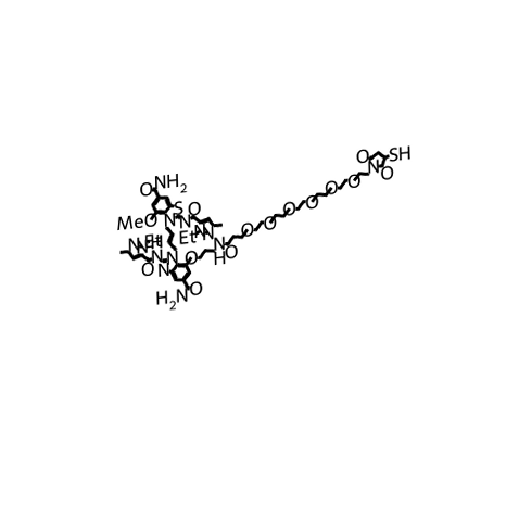 CCn1nc(C)cc1C(=O)/N=c1\sc2cc(C(N)=O)cc(OC)c2n1C/C=C/Cn1c(NC(=O)c2cc(C)nn2CC)nc2cc(C(N)=O)cc(OCCCNC(=O)CCOCCOCCOCCOCCOCCOCCN3C(=O)CC(S)C3=O)c21